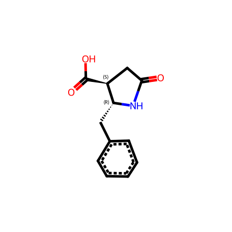 O=C1C[C@H](C(=O)O)[C@@H](Cc2ccccc2)N1